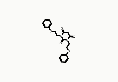 O=C1CC(=O)N(CCOc2ccccc2)C(=O)N1CCOc1ccccc1